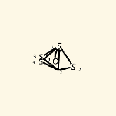 O=S123SC1(S2)S3